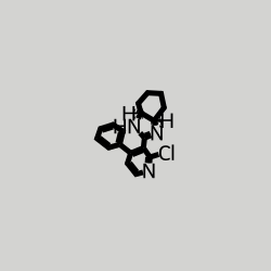 Clc1nccc(-c2ccccc2)c1C1=N[C@H]2CCCC[C@@H]2N1